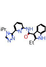 CCc1[nH]c2ccccc2c1C(=O)Nc1cccc(-c2nncn2C(C)C)n1